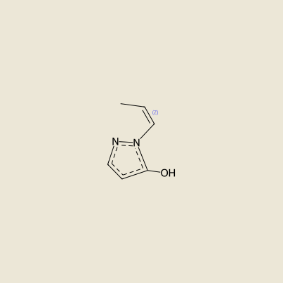 C/C=C\n1nccc1O